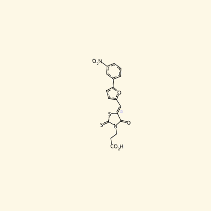 O=C(O)CCN1C(=O)/C(=C/c2ccc(-c3cccc([N+](=O)[O-])c3)o2)SC1=S